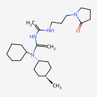 C=C(NCCCN1CCCC1=O)NC(=C)N(C1CCCCC1)[C@H]1CC[C@H](C)CC1